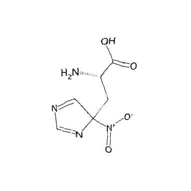 N[C@@H](CC1([N+](=O)[O-])C=NC=N1)C(=O)O